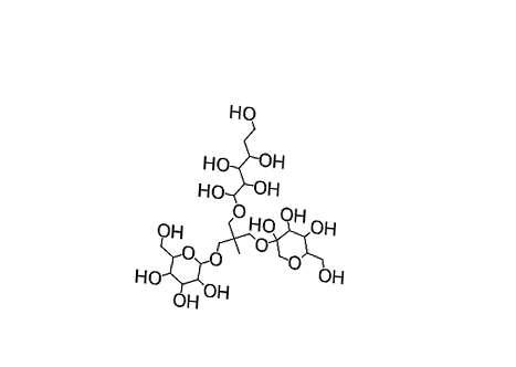 CC(COC(O)C(O)C(O)C(O)CCO)(COC1OC(CO)C(O)C(O)C1O)COC1(O)COC(CO)C(O)C1O